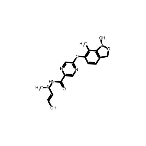 Cc1c(Oc2cnc(C(=O)N[C@H](C)C=CO)cn2)ccc2c1B(O)OC2